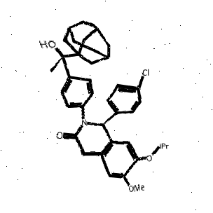 COc1cc2c(cc1OC(C)C)[C@H](c1ccc(Cl)cc1)N(c1ccc([C@](C)(O)C34CC5CC(CC(C5)C3)C4)cc1)C(=O)C2